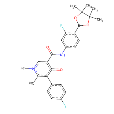 CC(C)n1cc(C(=O)Nc2ccc(B3OC(C)(C)C(C)(C)O3)c(F)c2)c(=O)c(-c2ccc(F)cc2)c1C#N